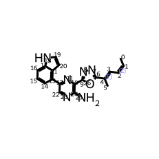 C/C=C\C=C(/C)c1nnc(-c2nc(-c3cccc4[nH]ccc34)cnc2N)o1